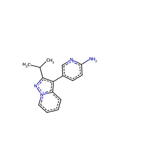 CC(C)c1nn2ccccc2c1-c1ccc(N)nc1